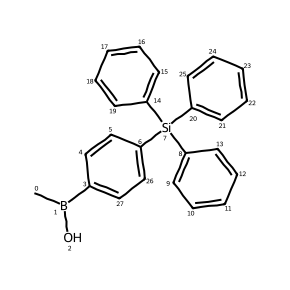 CB(O)c1ccc([Si](c2ccccc2)(c2ccccc2)c2ccccc2)cc1